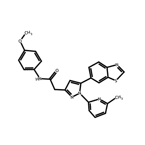 COc1ccc(NC(=O)Cc2cc(-c3ccc4ncsc4c3)n(-c3cccc(C)n3)n2)cc1